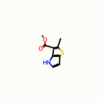 COC(=O)c1c(C)sc2cc[nH]c12